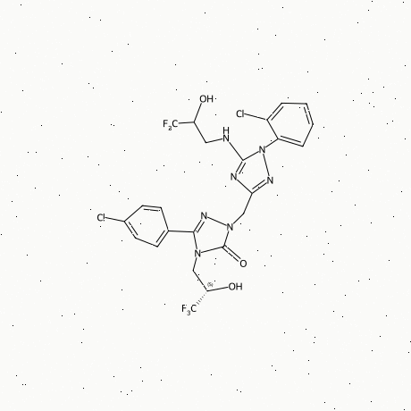 O=c1n(Cc2nc(NCC(O)C(F)(F)F)n(-c3ccccc3Cl)n2)nc(-c2ccc(Cl)cc2)n1C[C@H](O)C(F)(F)F